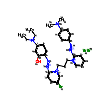 CCN(CC)c1ccc(/N=N/c2ccc(Br)c[n+]2CCC[n+]2ccccc2/N=N/c2ccc(N(C)C)cc2)c(O)c1.[Br-].[Br-]